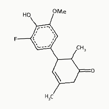 COc1cc(C2C=C(C)CC(=O)C2C)cc(F)c1O